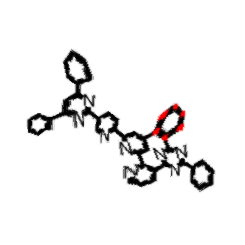 c1ccc(-c2cc(-c3ccc(-c4nc(-c5ccccc5)cc(-c5ccccc5)n4)cn3)nc(-c3ncccc3-c3nc(-c4ccccc4)nc(-c4ccccc4)n3)c2)cc1